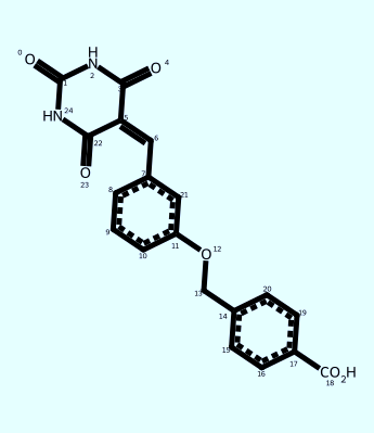 O=C1NC(=O)C(=Cc2cccc(OCc3ccc(C(=O)O)cc3)c2)C(=O)N1